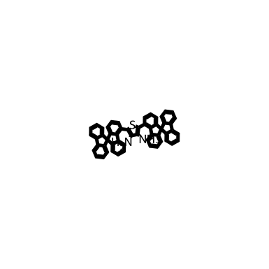 Nc1c(-c2cccc3c2-c2ccccc2C32c3ccccc3-c3ccccc32)sc(-c2cccc3c2-c2ccccc2C32c3ccccc3-c3ccccc32)c1N